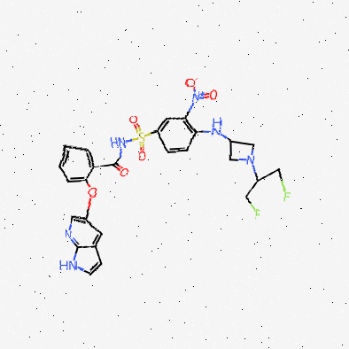 O=C(NS(=O)(=O)c1ccc(NC2CN(C(CF)CF)C2)c([N+](=O)[O-])c1)c1ccccc1Oc1cnc2[nH]ccc2c1